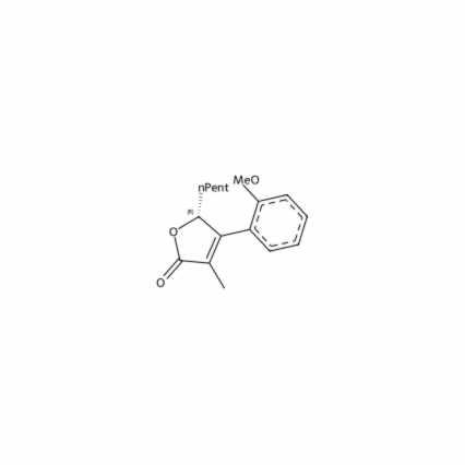 CCCCC[C@H]1OC(=O)C(C)=C1c1ccccc1OC